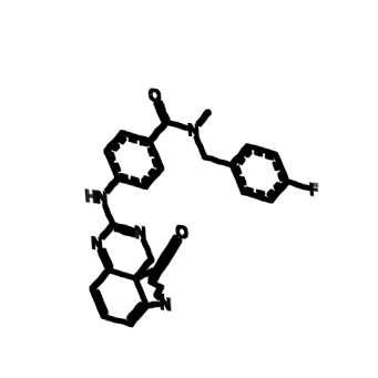 CN(Cc1ccc(F)cc1)C(=O)c1ccc(NC2=NCC34CC(=O)CC=NC3=CC=CC4=N2)cc1